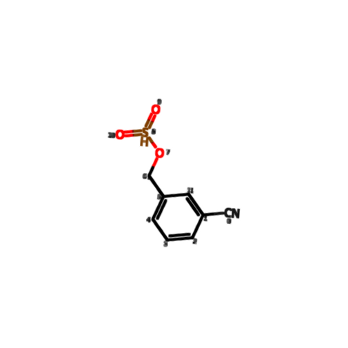 N#Cc1cccc([CH]O[SH](=O)=O)c1